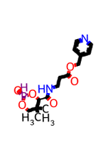 CC1(C)CO[PH](=O)O[C@H]1C(=O)NCCC(=O)OCc1ccncc1